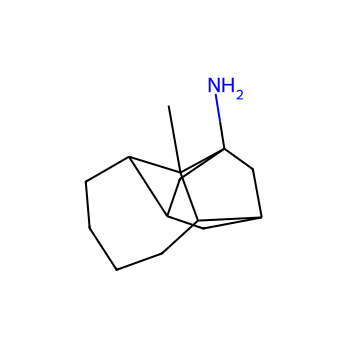 CC12C3CCCCC1C1CC3CC2(N)C1